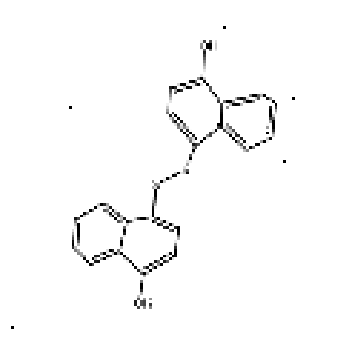 Oc1ccc(SSc2ccc(O)c3ccccc23)c2ccccc12